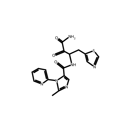 Cc1ncc(C(=O)NC(Cc2cncs2)C(=O)C(N)=O)n1-c1ccccn1